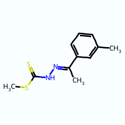 CSC(=S)N/N=C(\C)c1cccc(C)c1